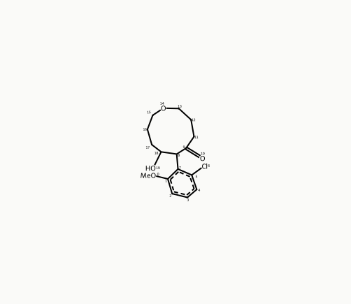 COc1cccc(Cl)c1C1C(=O)CCCOCCCC1O